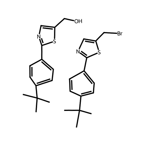 CC(C)(C)c1ccc(-c2ncc(CBr)s2)cc1.CC(C)(C)c1ccc(-c2ncc(CO)s2)cc1